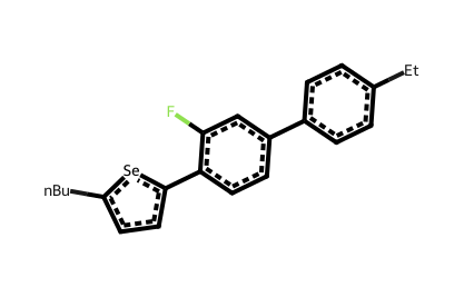 CCCCc1ccc(-c2ccc(-c3ccc(CC)cc3)cc2F)[se]1